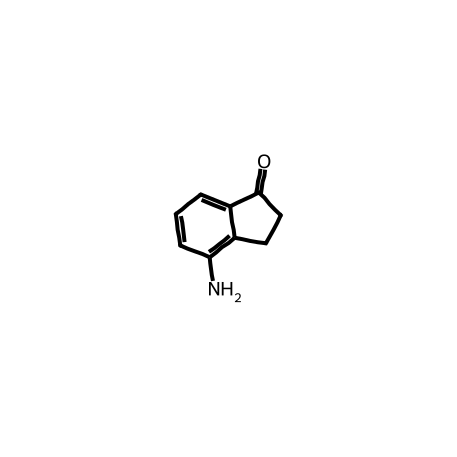 Nc1cccc2c1CCC2=O